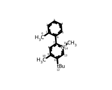 Cc1ccccc1-c1cc(C)c(C(C)(C)C)c[n+]1C